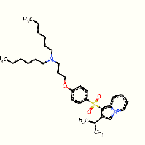 CCCCCCN(CCCCCC)CCCOc1ccc(S(=O)(=O)c2c(C(C)C)cn3ccccc23)cc1